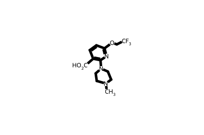 CN1CCN(c2nc(OCC(F)(F)F)ccc2C(=O)O)CC1